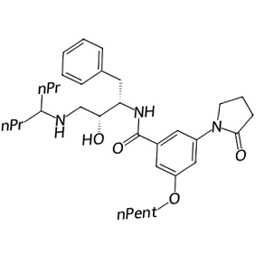 CCCCCOc1cc(C(=O)N[C@@H](Cc2ccccc2)[C@H](O)CNC(CCC)CCC)cc(N2CCCC2=O)c1